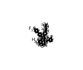 [2H]c1c(C)c([2H])c2c(c1[2H])c(=O)c([2H])c(SCc1cccc(F)c1F)n2C([2H])([2H])C(=O)N(Cc1ccc(-c2ccc(C(F)(F)F)cc2)cc1)C1CCN(C([2H])([2H])COC([2H])([2H])[2H])CC1